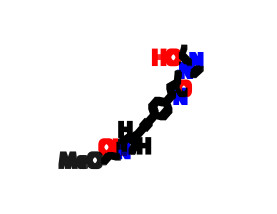 COCC(O)CN1C[C@@H]2C(C#Cc3ccc(-c4cc(Cn5ccnc5[C@H](C)O)on4)cc3)[C@@H]2C1